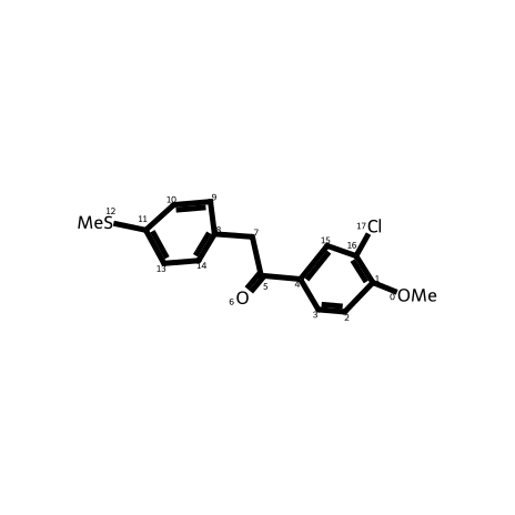 COc1ccc(C(=O)Cc2ccc(SC)cc2)cc1Cl